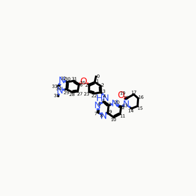 Cc1cc(Nc2ncnc3ccc(N4CCCCC4=O)nc23)ccc1Oc1ccc2c(c1)ncn2C